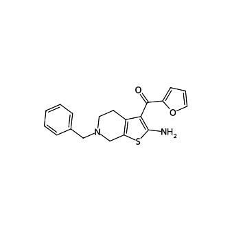 Nc1sc2c(c1C(=O)c1ccco1)CCN(Cc1ccccc1)C2